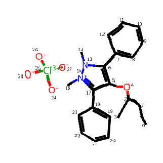 CCC(C)Oc1c(-c2ccccc2)n(C)[n+](C)c1-c1ccccc1.[O-][Cl+3]([O-])([O-])[O-]